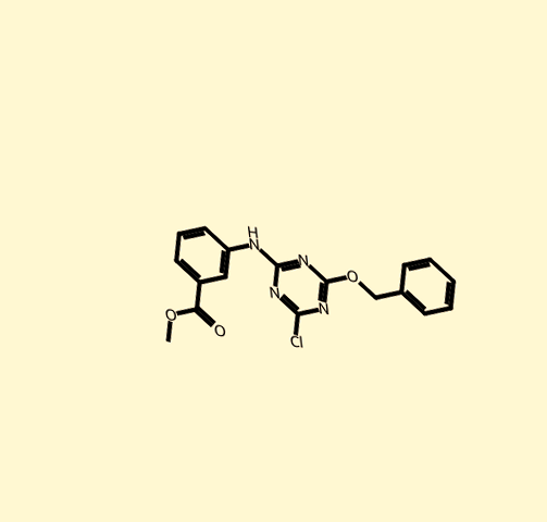 COC(=O)c1cccc(Nc2nc(Cl)nc(OCc3ccccc3)n2)c1